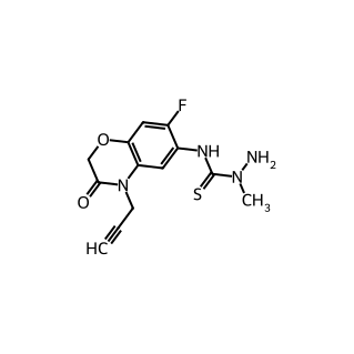 C#CCN1C(=O)COc2cc(F)c(NC(=S)N(C)N)cc21